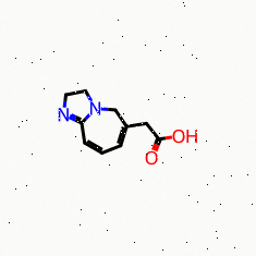 O=C(O)CC1=CC=CC2=NCCN2C1